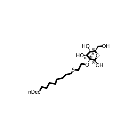 CCCCCCCCCCCCCCCCCCSCCO[C@@H]1[C@@H](O)[C@H](O)[C@@H](CO)O[C@H]1O